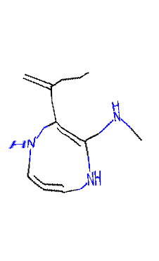 C=C(C)C1=C(NC)NC=CN1